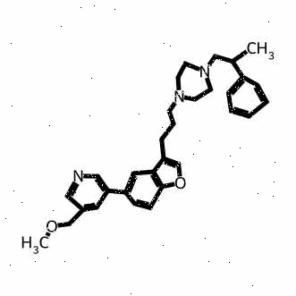 COCc1cncc(-c2ccc3occ(CCCN4CCN(CC(C)c5ccccc5)CC4)c3c2)c1